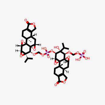 CC(C)[C@]1(O)[C@H](OP(=O)(O)OCO[C@@H]2[C@@]3(C(C)C)O[C@H]3[C@@H]3O[C@]34[C@]23O[C@H]3C[C@H]2C3=C(CC[C@@]24C)C(=O)OC3)[C@@H]2O[C@]23[C@]2(O[C@H]2C[C@H]2C4=C(CC[C@@]23C)C(=O)OC4)[C@@H]1OCOP(=O)(O)O